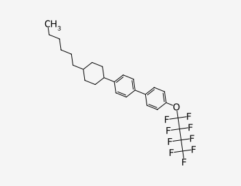 CCCCCCC1CCC(c2ccc(-c3ccc(OC(F)(F)C(F)(F)C(F)(F)C(F)(F)F)cc3)cc2)CC1